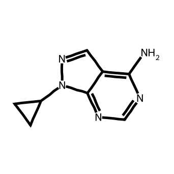 Nc1ncnc2c1cnn2C1CC1